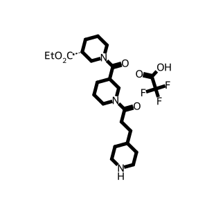 CCOC(=O)[C@@H]1CCCN(C(=O)C2CCCN(C(=O)CCC3CCNCC3)C2)C1.O=C(O)C(F)(F)F